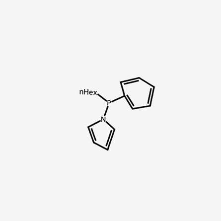 CCCCCCP(c1ccccc1)n1cccc1